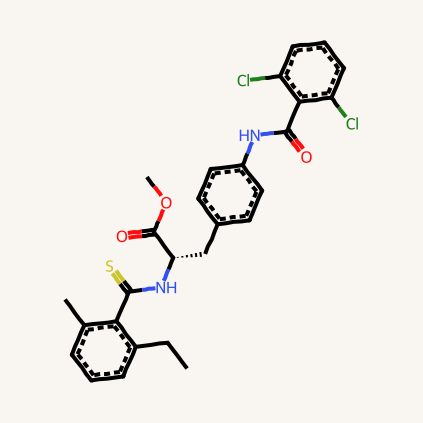 CCc1cccc(C)c1C(=S)N[C@@H](Cc1ccc(NC(=O)c2c(Cl)cccc2Cl)cc1)C(=O)OC